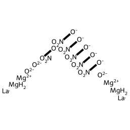 O=[N+]([O-])[O-].O=[N+]([O-])[O-].O=[N+]([O-])[O-].O=[N+]([O-])[O-].O=[N+]([O-])[O-].O=[N+]([O-])[O-].[La].[La].[Mg+2].[Mg+2].[MgH2].[MgH2].[O-2].[O-2].[O-2]